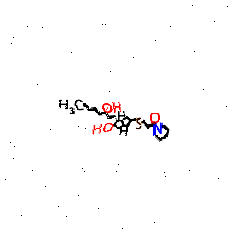 CCCCC[C@H](O)/C=C/[C@@H]1[C@H]2CC(CSCCC(=O)N3CCCCC3)=C[C@H]2C[C@H]1O